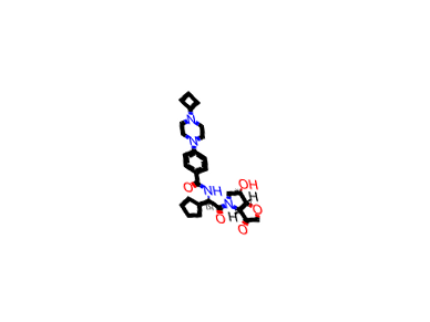 O=C(N[C@H](C(=O)N1C[C@H](O)[C@H]2OCC(=O)[C@H]21)C1CCCC1)c1ccc(N2CCN(C3CCC3)CC2)cc1